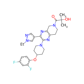 CCn1cc(-c2nc3c(nc2N2CCC(Oc4ccc(F)cc4F)CC2)CCN(C(=O)C(C)(C)O)C3)cn1